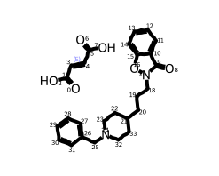 O=C(O)/C=C/C(=O)O.O=c1c2ccccc2on1CCCC1CCN(Cc2ccccc2)CC1